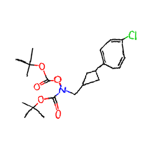 CC(C)(C)OC(=O)ON(CC1CC(c2ccc(Cl)cc2)C1)C(=O)OC(C)(C)C